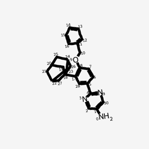 Nc1cnc(-c2ccc(OCc3ccccc3)c(C34CC5CC(CC(C5)C3)C4)c2)nc1